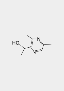 Cc1cnc(C(C)O)c(C)n1